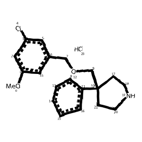 COc1cc(Cl)cc(COCC2(c3ccccc3)CCNCC2)c1.Cl